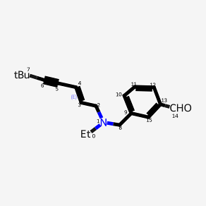 CCN(C/C=C/C#CC(C)(C)C)Cc1cccc(C=O)c1